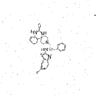 O=C1Nc2ccccc2C2(CCN(C[C@H](Cc3ccccc3)Nc3nc4ccc(F)cc4s3)CC2)N1